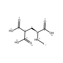 O=C(O)C(C[C@H](NI)C(=O)O)C(=O)O